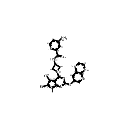 CCc1[nH]c2nc(Sc3cnc4nccnc4c3)nc(N3CC(NC(=O)c4cc(N)ccn4)C3)c2c1Cl